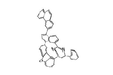 c1ccc(-c2cc(-c3cccc4oc5ccc(-c6ccc(-c7ccc8ccc9ccccc9c8c7)cc6)cc5c34)nc(-c3ccccc3)n2)cc1